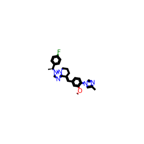 COc1cc(C=C2CCCN3C2=NCN3[C@@H](C)c2ccc(F)cc2)ccc1-n1cnc(C)c1